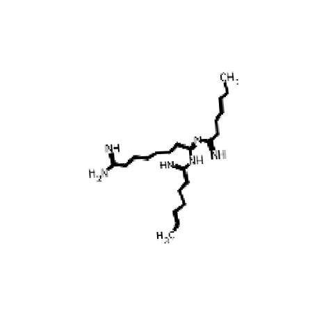 CCCCCCC(=N)N=C(CCCCCCC(=N)N)NC(=N)CCCCCC